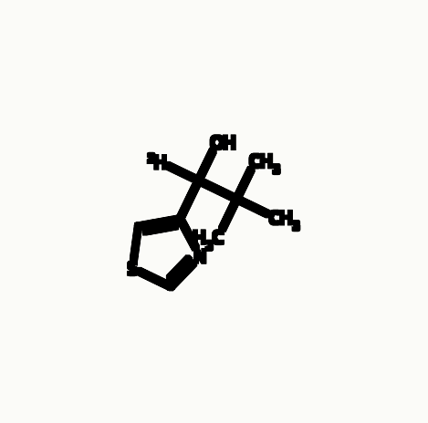 [2H]C(O)(c1cscn1)C(C)(C)C